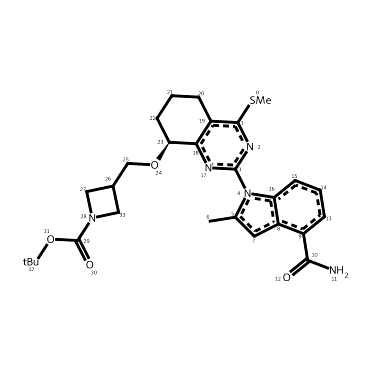 CSc1nc(-n2c(C)cc3c(C(N)=O)cccc32)nc2c1CCC[C@@H]2OCC1CN(C(=O)OC(C)(C)C)C1